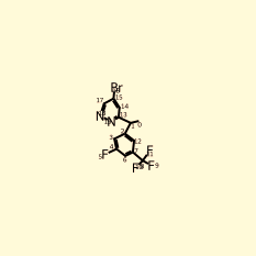 CC(c1cc(F)cc(C(F)(F)F)c1)c1cc(Br)cnn1